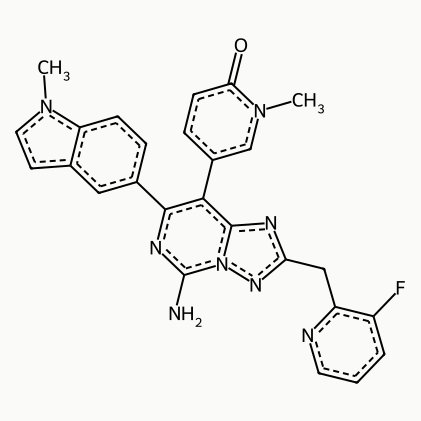 Cn1cc(-c2c(-c3ccc4c(ccn4C)c3)nc(N)n3nc(Cc4ncccc4F)nc23)ccc1=O